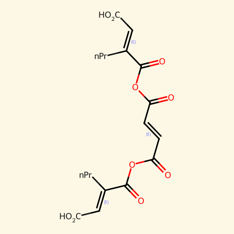 CCC/C(=C\C(=O)O)C(=O)OC(=O)/C=C/C(=O)OC(=O)/C(=C/C(=O)O)CCC